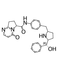 O=C(Nc1ccc(CC2CCC([C@H](O)c3ccccc3)N2)cc1)C1CCc2nccc(=O)n21